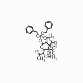 CC(=O)C(O)[C@H]1O[C@@H](OP(=O)(OCc2ccccc2)OCc2ccccc2)[C@H](F)[C@](O)(C(C)=O)[C@@]1(O)C(C)=O